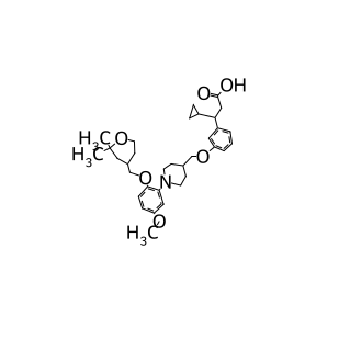 COc1ccc(OCC2CCOC(C)(C)C2)c(N2CCC(COc3cccc(C(CC(=O)O)C4CC4)c3)CC2)c1